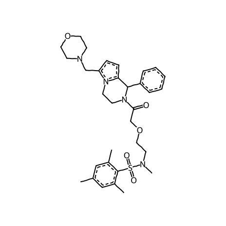 Cc1cc(C)c(S(=O)(=O)N(C)CCOCC(=O)N2CCn3c(CN4CCOCC4)ccc3C2c2ccccc2)c(C)c1